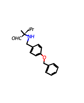 CC(C)[C@](C)(C=O)NCc1ccc(OCc2ccccc2)cc1